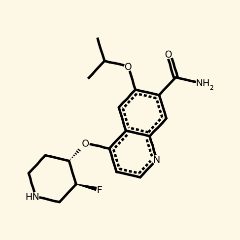 CC(C)Oc1cc2c(O[C@H]3CCNC[C@@H]3F)ccnc2cc1C(N)=O